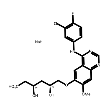 COc1cc2ncnc(Nc3ccc(F)c(Cl)c3)c2cc1OC[C@@H](O)C[C@@H](O)CC(=O)O.[NaH]